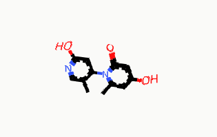 Cc1cnc(O)cc1-n1c(C)cc(O)cc1=O